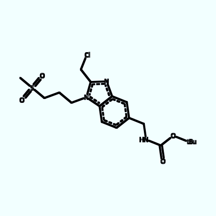 CC(C)(C)OC(=O)NCc1ccc2c(c1)nc(CCl)n2CCCS(C)(=O)=O